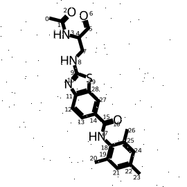 CC(=O)NC(C=O)CNc1nc2ccc(C(=O)Nc3c(C)cc(C)cc3C)cc2s1